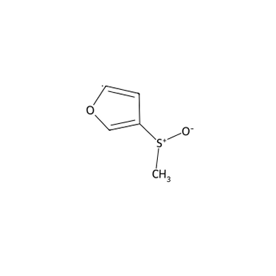 C[S+]([O-])c1c[c]oc1